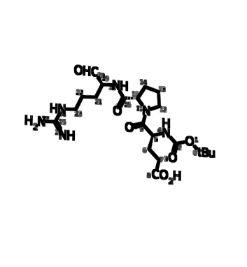 CC(C)(C)OC(=O)N[C@@H](CCC(=O)O)C(=O)N1CCC[C@H]1C(=O)N[C@H](C=O)CCCNC(=N)N